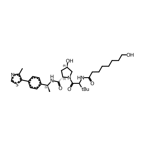 Cc1ncsc1-c1ccc([C@H](C)NC(=O)[C@@H]2C[C@@H](O)CN2C(=O)C(NC(=O)CCCCCCCO)C(C)(C)C)cc1